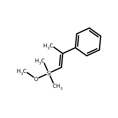 CO[Si](C)(C)C=C(C)c1ccccc1